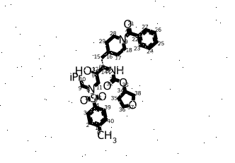 Cc1ccc(S(=O)(=O)N(CC(C)C)C[C@@H](O)[C@H](CC2CCN(C(=O)c3ccccc3)CC2)NC(=O)OC2CCOC2)cc1